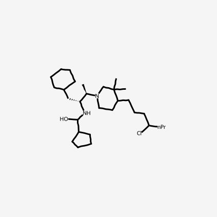 CCCC(Cl)CCCC1CCN([C@H](C)[C@@H](CC2CCCCC2)NC(O)C2CCCC2)CC1(C)C